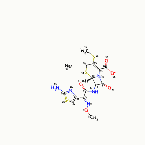 CON=C(C(=O)NC1C(=O)N2C(C(=O)[O-])=C(SC)CS[C@@H]12)c1csc(N)n1.[Na+]